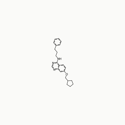 c1ccc(CCCNc2ncnc3cc(OCC4CCCC4)ccc23)cc1